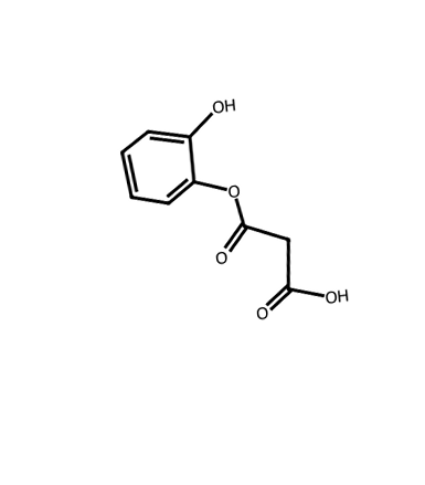 O=C(O)CC(=O)Oc1ccccc1O